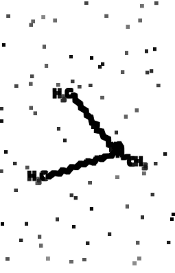 CCCCCCCCCCCCCCCCC1N(CCC)C=CN1CCCCCCCCCCCCCCC